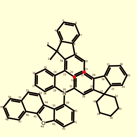 CC1(C)c2ccccc2-c2cccc(-c3ccccc3N(c3ccc4c(c3)C3(CCCCC3)c3ccccc3-4)c3cccc4oc5c6ccccc6ccc5c34)c21